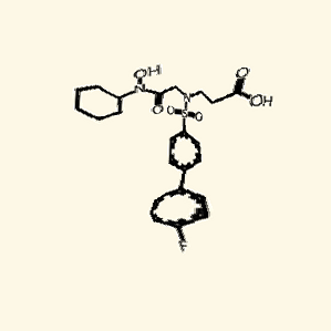 O=C(O)CCN(CC(=O)N(O)C1CCCCC1)S(=O)(=O)c1ccc(-c2ccc(F)cc2)cc1